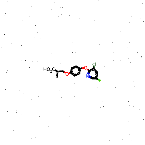 CC(COc1ccc(Oc2ncc(F)cc2Cl)cc1)C(=O)O